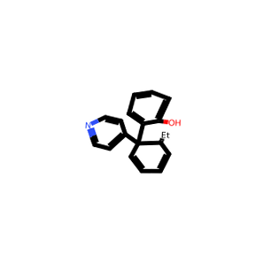 CCC1C=CC=CC1(c1ccncc1)c1ccccc1O